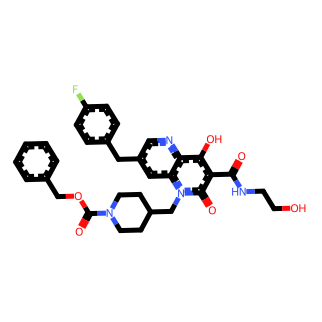 O=C(NCCO)c1c(O)c2ncc(Cc3ccc(F)cc3)cc2n(CC2CCN(C(=O)OCc3ccccc3)CC2)c1=O